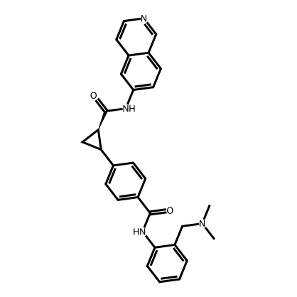 CN(C)Cc1ccccc1NC(=O)c1ccc(C2C[C@H]2C(=O)Nc2ccc3cnccc3c2)cc1